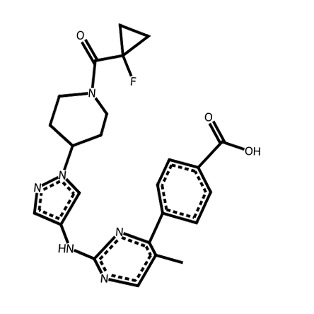 Cc1cnc(Nc2cnn(C3CCN(C(=O)C4(F)CC4)CC3)c2)nc1-c1ccc(C(=O)O)cc1